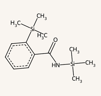 C[Si](C)(C)NC(=O)c1ccccc1[Si](C)(C)C